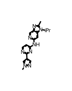 Cc1nc2cnc(Nc3ccnc(-c4cnn(C)c4)n3)cc2n1C(C)C